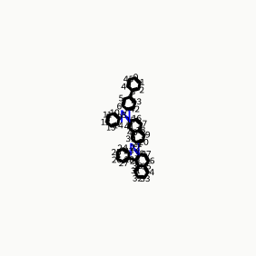 c1ccc(-c2ccc(N(c3ccccc3)c3ccc4ccc(-n5c6ccccc6c6c7ccccc7ccc65)cc4c3)cc2)cc1